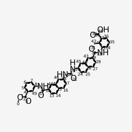 COC(=O)c1cccc(NC(=O)c2ccc3ccc(NC(=O)Nc4ccc5ccc(C(=O)Nc6cccc(C(=O)O)c6C)cc5c4)cc3c2)c1